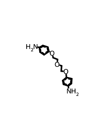 Nc1ccc(OCCOCCOc2ccc(N)cc2)cc1